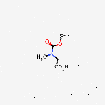 CCOC(=O)N(C)CC(=O)O